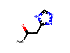 CNC(=O)Cc1nnc[nH]1